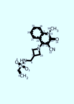 C=CS(=O)(=O)NCC1CN(c2c(C#N)c(=O)n(C)c3ccccc23)C1